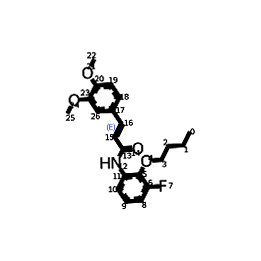 CCCCOc1c(F)cccc1NC(=O)/C=C/c1ccc(OC)c(OC)c1